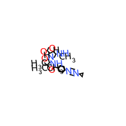 CN[C@H]1CN(C(=O)C(NC(=O)c2ccc(N3CCN(C4CC4)CC3)cc2)C(C)(C)C)[C@@H]2C(=O)CO[C@H]12